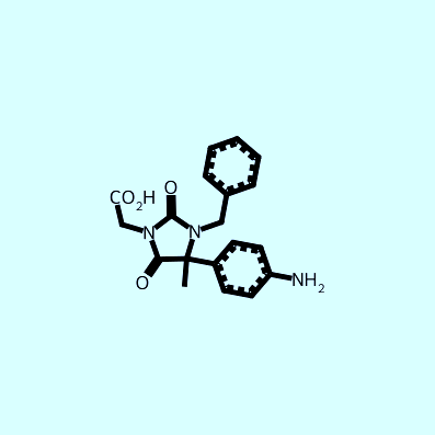 CC1(c2ccc(N)cc2)C(=O)N(CC(=O)O)C(=O)N1Cc1ccccc1